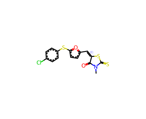 CN1C(=O)/C(=C\c2ccc(Sc3ccc(Cl)cc3)o2)SC1=S